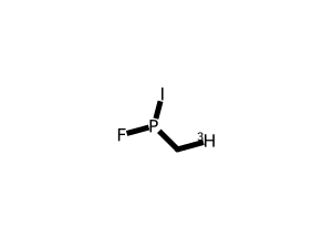 [3H]CP(F)I